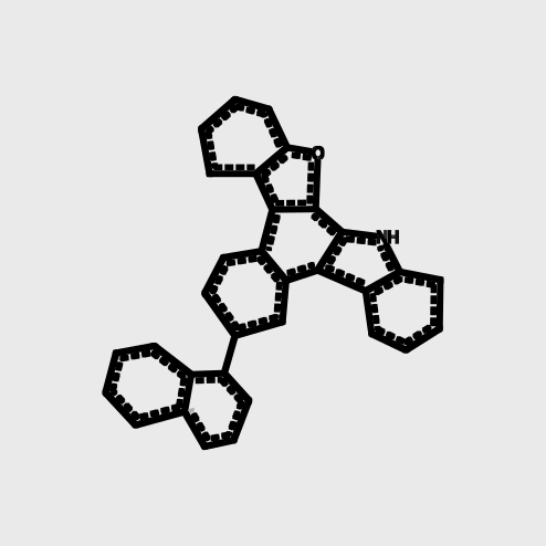 c1ccc2c(-c3ccc4c(c3)c3c5ccccc5[nH]c3c3oc5ccccc5c43)cccc2c1